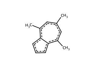 Cc1cc(C)c2cccc-2c(C)c1